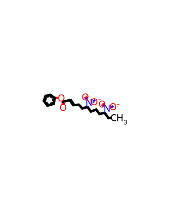 CCC(CCCC(CC/C=C/C(=O)Oc1ccccc1)[N+](=O)[O-])[N+](=O)[O-]